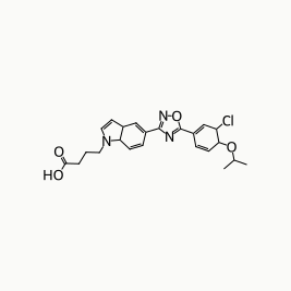 CC(C)OC1C=CC(c2nc(C3=CC4C=CN(CCCC(=O)O)C4C=C3)no2)=CC1Cl